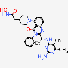 CC[C@H](Nc1nc(N)nc(C)c1C#N)c1nc2cccc(N3CCC(CC(=O)NO)CC3)c2c(=O)n1-c1ccccc1